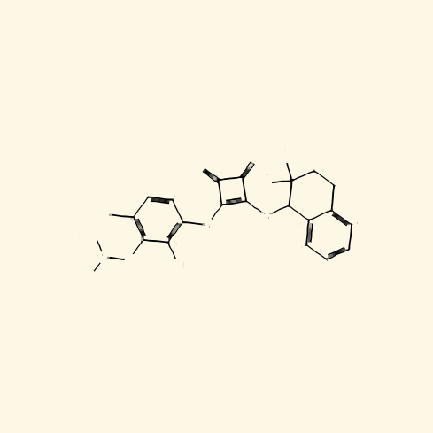 CN(C)Sc1c(Cl)ccc(Nc2c(NC3c4ccccc4CCC3(C)C)c(=O)c2=O)c1O